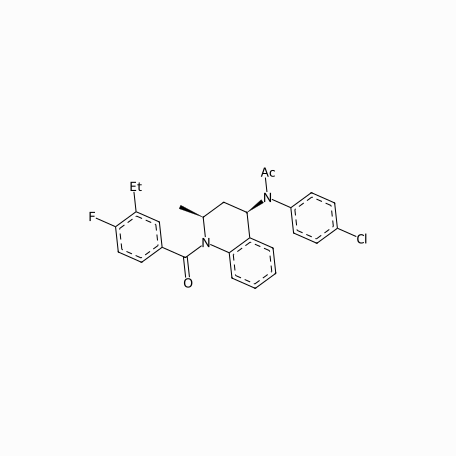 CCc1cc(C(=O)N2c3ccccc3[C@H](N(C(C)=O)c3ccc(Cl)cc3)C[C@@H]2C)ccc1F